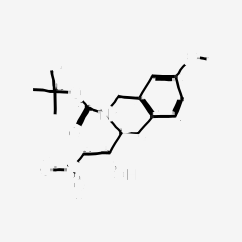 COc1ccc2c(c1)CN(C(=O)OC(C)(C)C)[C@H]([C@H](O)C[N+](=O)[O-])C2